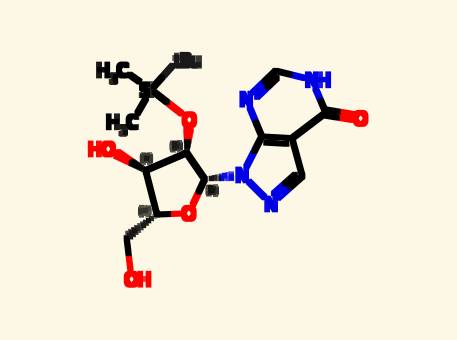 CC(C)(C)[Si](C)(C)O[C@@H]1[C@H](O)[C@@H](CO)O[C@H]1n1ncc2c(=O)[nH]cnc21